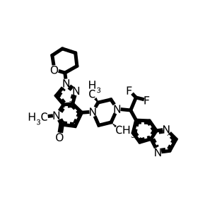 C[C@@H]1CN(c2cc(=O)n(C)c3cn(C4CCCCO4)nc23)[C@@H](C)CN1C(c1ccc2nccnc2c1)C(F)F